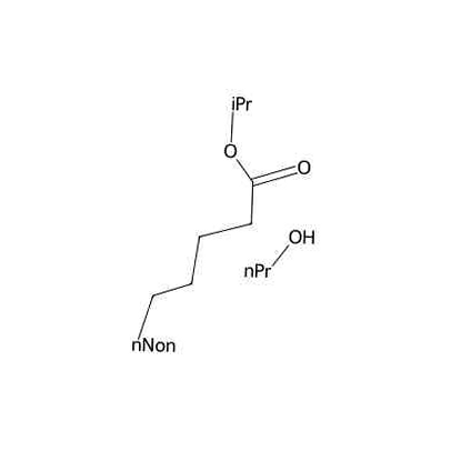 CCCCCCCCCCCCCC(=O)OC(C)C.CCCO